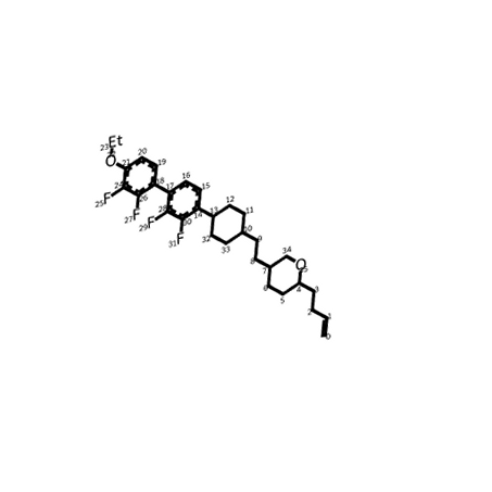 C=CCCC1CCC(CCC2CCC(c3ccc(-c4ccc(OCC)c(F)c4F)c(F)c3F)CC2)CO1